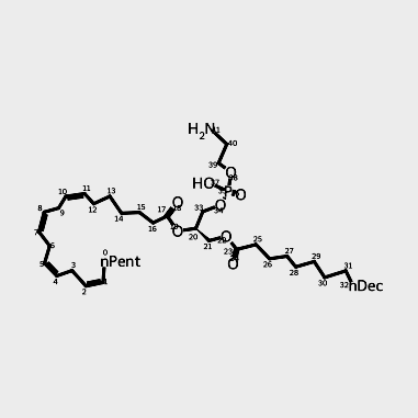 CCCCC/C=C\C/C=C\C/C=C\C/C=C\CCCCCC(=O)O[C@H](COC(=O)CCCCCCCCCCCCCCCCC)COP(=O)(O)OCCN